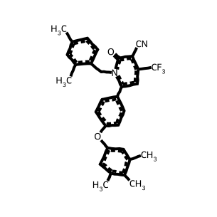 Cc1ccc(Cn2c(-c3ccc(Oc4cc(C)c(C)c(C)c4)cc3)cc(C(F)(F)F)c(C#N)c2=O)c(C)c1